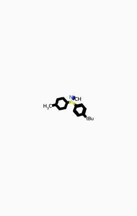 C#N.CC1CCC(Sc2ccc(C(C)(C)C)cc2)CC1